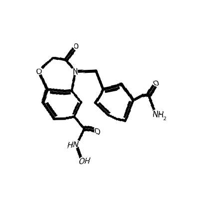 NC(=O)c1cccc(CN2C(=O)COc3ccc(C(=O)NO)cc32)c1